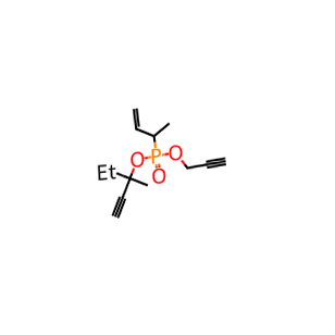 C#CCOP(=O)(OC(C)(C#C)CC)C(C)C=C